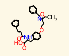 Cc1oc(-c2ccccc2)nc1CCOc1ccc(C[C@H](NC(=O)C=Cc2ccccc2)C(=O)O)cc1